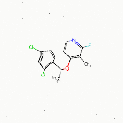 Cc1c(O[C@H](C)c2ccc(Cl)cc2Cl)ccnc1F